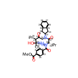 COC(=O)c1ccc(C(=O)N[C@H](C(=O)N(CC(=O)C(C(C)C)C(N)(O)C(F)(F)F)C2Cc3ccccc3C2)C(C)C)cc1